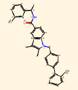 Cc1c(C)n(Cc2ccc(-c3ccccc3C#N)cc2)c2ccc(C(=O)NC(C)c3cccc(C(C)C)c3)cc12